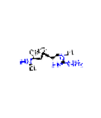 CCN[C@H]([C]=O)CCCCN(CC)C(=N)N